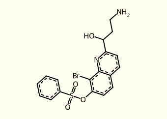 NCCC(O)c1ccc2ccc(OS(=O)(=O)c3ccccc3)c(Br)c2n1